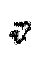 CN[C@@H](C)C(=O)N[C@H](C(=O)N1CCC[C@H]1c1nc(C(=O)c2cccc(OCc3cn(CCCCCCOc4cccc([C@@H](C)NC(=O)c5cccc(NCc6nnc(-c7ccncn7)n6C)c5)c4)nn3)c2)cs1)C1CCCCC1